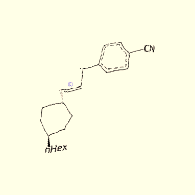 CCCCCC[C@H]1CC[C@H](/C=C/[CH]c2ccc(C#N)cc2)CC1